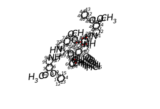 COc1cc2c(cc1OCc1ccccc1)C(CCCC(CCCCC(CCCC1NCCc3cc(OC)c(OCc4ccccc4)cc31)C1NCCc3cc(OC)c(OCc4ccccc4)cc31)C1NCCc3cc(OC)c(OCc4ccccc4)cc31)NCC2.Cl.Cl.Cl.Cl.O.O.O.O